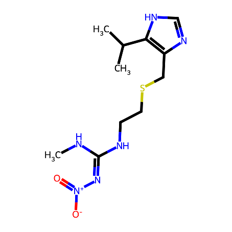 CN/C(=N\[N+](=O)[O-])NCCSCc1nc[nH]c1C(C)C